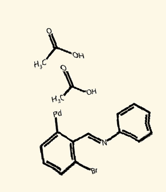 Brc1ccc[c]([Pd])c1C=Nc1ccccc1.CC(=O)O.CC(=O)O